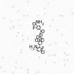 NC(=O)c1ccc(C(=O)COC(=O)[C@@H]2CCC3CC(c4c(N)ccc(Cl)c4F)=CC(=O)N32)cc1F